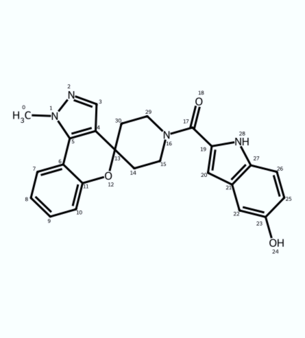 Cn1ncc2c1-c1ccccc1OC21CCN(C(=O)c2cc3cc(O)ccc3[nH]2)CC1